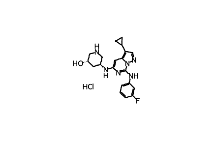 Cl.O[C@@H]1CNC[C@@H](Nc2cc3c(C4CC4)cnn3c(Nc3cccc(F)c3)n2)C1